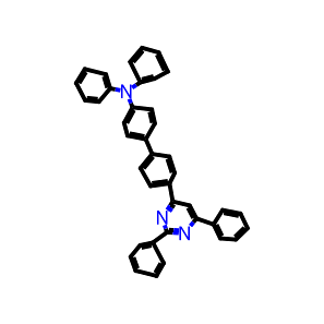 c1ccc(-c2cc(-c3ccc(-c4ccc(N(c5ccccc5)c5ccccc5)cc4)cc3)nc(-c3ccccc3)n2)cc1